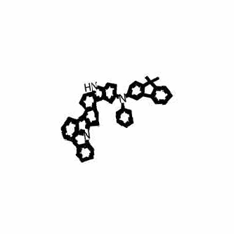 CC1(C)c2ccccc2-c2cc(N(c3ccccc3)c3ccc4[nH]c5ccc6c(ccc7c6c6cccc8c9ccccc9n7c86)c5c4c3)ccc21